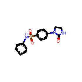 O=C1NCCN1c1ccc(S(=O)(=O)Nc2ccccc2)cc1